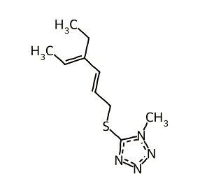 CC=C(C=CCSc1nnnn1C)CC